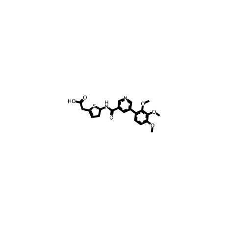 COc1ccc(-c2cncc(C(=O)NC3CC=C(CC(=O)O)S3)c2)c(OC)c1OC